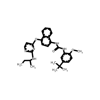 CCC(C)Nc1nccc(Oc2ccc(NC(=O)Nc3cc(C(C)(C)C)ccc3OC)c3ccccc23)n1